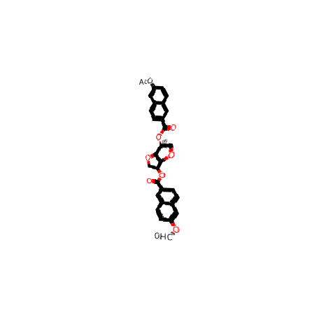 CC(=O)Oc1ccc2cc(C(=O)O[C@@H]3COC4C(OC(=O)c5ccc6cc(OC=O)ccc6c5)COC43)ccc2c1